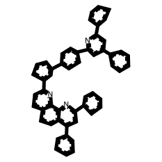 c1ccc(-c2cc(-c3ccccc3)nc(-c3ccc(-c4cccc(-c5ccc6ccc7c(-c8ccccc8)cc(-c8ccccc8)nc7c6n5)c4)cc3)c2)cc1